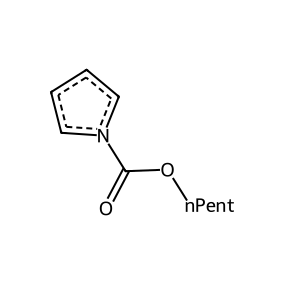 CCCCCOC(=O)n1cccc1